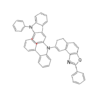 C1=C(N(c2ccc3c(c2)c2ccccc2n3-c2ccccc2)c2ccccc2-c2ccccc2)CCc2ccc3oc(-c4ccccc4)nc3c21